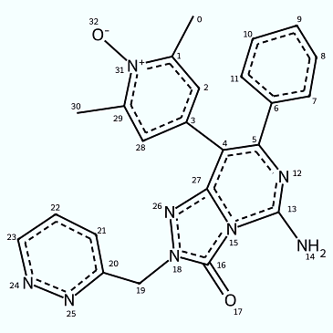 Cc1cc(-c2c(-c3ccccc3)nc(N)n3c(=O)n(Cc4cccnn4)nc23)cc(C)[n+]1[O-]